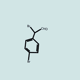 O=CC(Br)c1ccc(Br)cc1